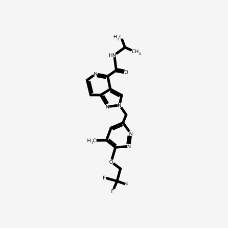 Cc1cc(Cn2cc3c(C(=O)NC(C)C)nccc3n2)nnc1OCC(F)(F)F